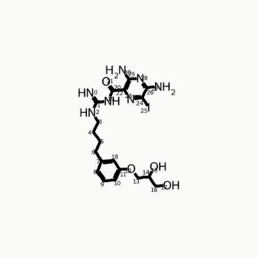 N=C(NCCCCc1cccc(OCC(O)CO)c1)NC(=O)c1nc(I)c(N)nc1N